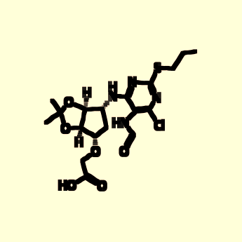 CCCSc1nc(Cl)c(NC=O)c(N[C@@H]2C[C@H](OCC(=O)O)[C@H]3OC(C)(C)O[C@H]32)n1